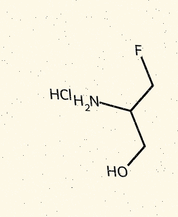 Cl.NC(CO)CF